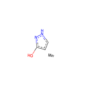 Oc1cc[nH]n1.[Mn]